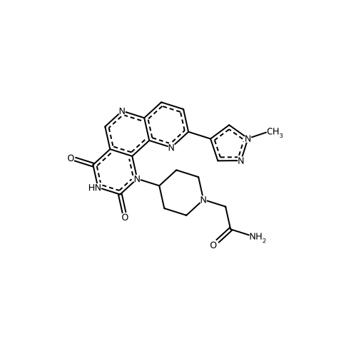 Cn1cc(-c2ccc3ncc4c(=O)[nH]c(=O)n(C5CCN(CC(N)=O)CC5)c4c3n2)cn1